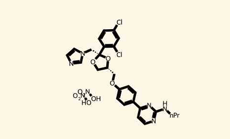 CCCNc1nccc(-c2ccc(OC[C@@H]3CO[C@@](Cn4ccnc4)(c4ccc(Cl)cc4Cl)O3)cc2)n1.O=[N+]([O-])O.O=[N+]([O-])O